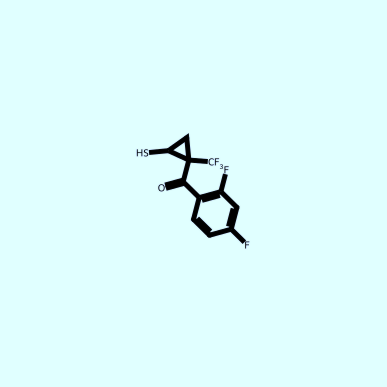 O=C(c1ccc(F)cc1F)C1(C(F)(F)F)CC1S